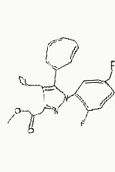 COC(=O)c1nn(-c2cc(F)ccc2F)c(-c2ccccc2)c1Cl